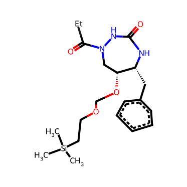 CCC(=O)N1C[C@@H](OCOCC[Si](C)(C)C)[C@@H](Cc2ccccc2)NC(=O)N1